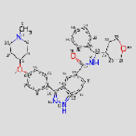 CN1CCC(Oc2ccc(-c3n[nH]c4ccc(C(=O)NC(c5ccccc5)C5CCOCC5)cc34)cc2)CC1